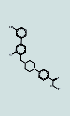 CCCNC(=O)c1ccc(N2CCN(Cc3ccc(-c4cncc(O)c4)cc3CC)CC2)cc1